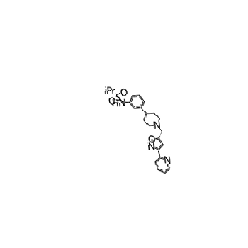 CC(C)S(=O)(=O)Nc1cccc(C2CCN(Cc3cc(-c4ccccn4)no3)CC2)c1